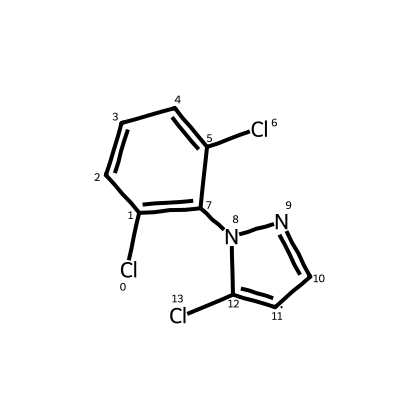 Clc1cccc(Cl)c1-n1nc[c]c1Cl